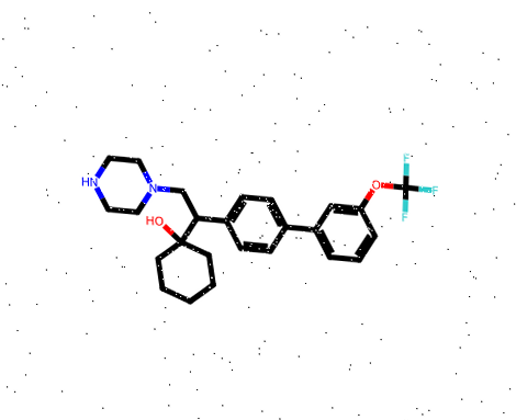 OC1(C(CN2CCNCC2)c2ccc(-c3cccc(OC(F)(F)F)c3)cc2)CCCCC1